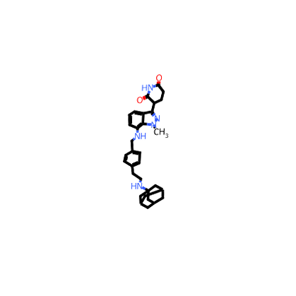 Cn1nc(C2CCC(=O)NC2=O)c2cccc(NCc3ccc(CCNC45CC6CC(CC(C6)C4)C5)cc3)c21